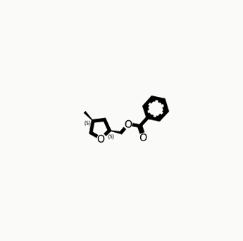 C[C@@H]1CO[C@H](COC(=O)c2ccccc2)C1